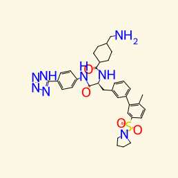 Cc1ccc(S(=O)(=O)N2CCCC2)cc1-c1cccc(C[C@H](NC(=O)C2CCC(CN)CC2)C(=O)Nc2ccc(-c3nnn[nH]3)cc2)c1